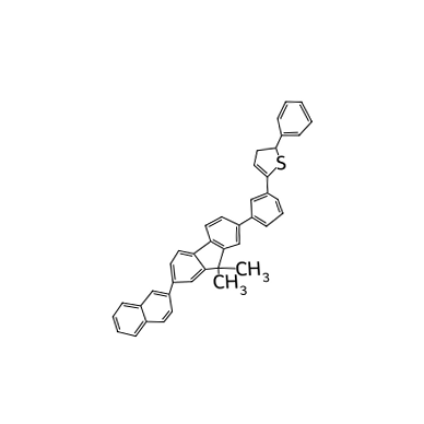 CC1(C)c2cc(-c3cccc(C4=CCC(c5ccccc5)S4)c3)ccc2-c2ccc(-c3ccc4ccccc4c3)cc21